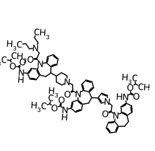 CCCN(CCC)CC(=O)N1c2cc(NC(=O)OC(C)C)ccc2CC(C2CCN(CC(=O)N3c4cc(NC(=O)OC(C)C)ccc4CC(c4ccn(CC(=O)N5c6ccccc6CCc6ccc(NC(=O)OC(C)C)cc65)c4)c4ccccc43)CC2)c2ccccc21